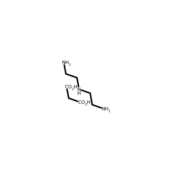 NCCNCCN.O=C(O)CC(=O)O